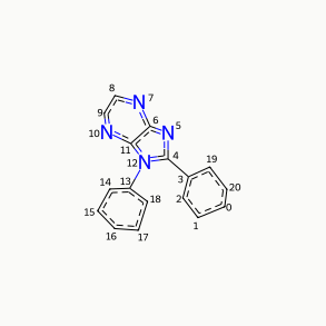 c1ccc(-c2nc3nccnc3n2-c2ccccc2)cc1